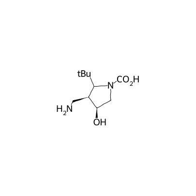 CC(C)(C)C1[C@H](CN)[C@H](O)CN1C(=O)O